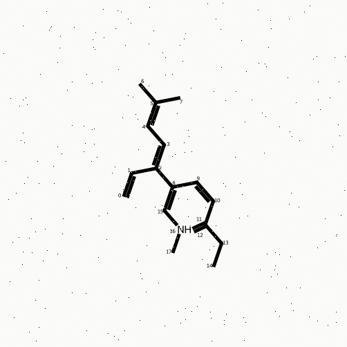 C=CC(=C\C=C(C)C)/C(/C=C\C(=C)CC)=C/NC